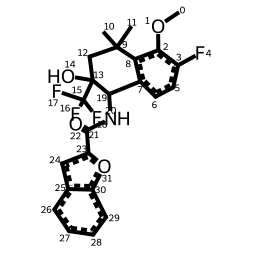 COc1c(F)ccc2c1C(C)(C)CC(O)(C(F)(F)F)C2NC(=O)c1cc2ccccc2o1